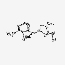 Nc1ncnc2c1[N+]=CN2[C@H]1C[C@H](O)N(NO)O1